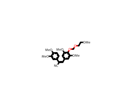 COCCOCOc1c(OC)cc(C=C(C#N)c2ccc(OC)c(OC)c2)cc1OC